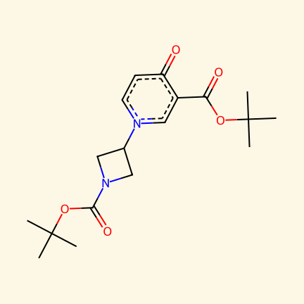 CC(C)(C)OC(=O)c1cn(C2CN(C(=O)OC(C)(C)C)C2)ccc1=O